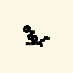 CNc1c(NC(=S)SCC(C)(C)C)ccc2c1CCC2Nc1cccnc1